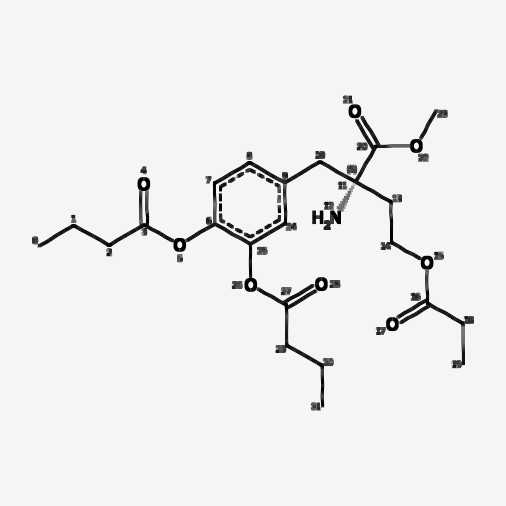 CCCC(=O)Oc1ccc(C[C@](N)(CCOC(=O)CC)C(=O)OC)cc1OC(=O)CCC